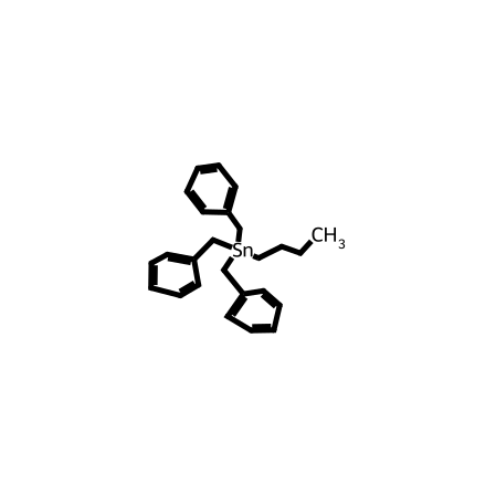 CCC[CH2][Sn]([CH2]c1ccccc1)([CH2]c1ccccc1)[CH2]c1ccccc1